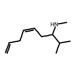 C=CC/C=C\CC(NC)C(C)C